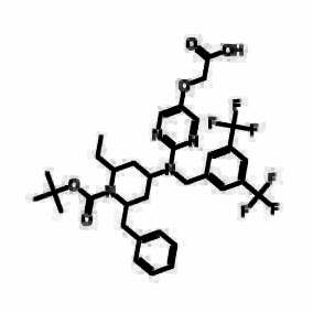 CCC1CC(N(Cc2cc(C(F)(F)F)cc(C(F)(F)F)c2)c2ncc(OCC(=O)O)cn2)CC(Cc2ccccc2)N1C(=O)OC(C)(C)C